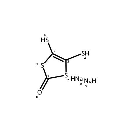 O=c1sc(S)c(S)s1.[NaH].[NaH]